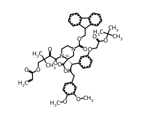 C=CC(=O)OCC(C)(C)C(=O)C(=O)N1CCN(C(=O)OCC2c3ccccc3-c3ccccc32)C[C@]1(C(=O)O)C(CCc1ccc(OC)c(OC)c1)c1cccc(OCC(=O)OC(C)(C)C)c1